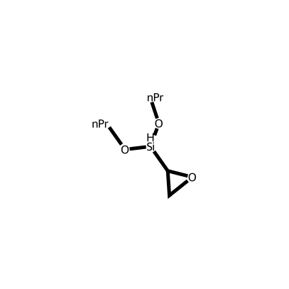 CCCO[SiH](OCCC)C1CO1